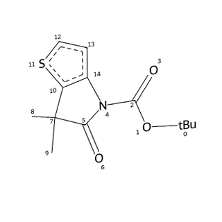 CC(C)(C)OC(=O)N1C(=O)C(C)(C)c2sccc21